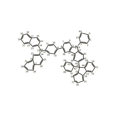 c1ccc(-n2c3ccc(-c4ccc(N(c5ccc6ccccc6c5)c5ccc6ccccc6c5)cc4)cc3c3cc(C4(c5ccccc5)c5ccccc5-c5ccccc54)ccc32)cc1